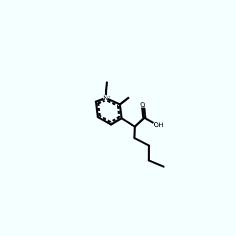 CCCCC(C(=O)O)c1ccc[n+](C)c1C